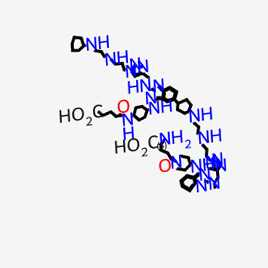 CN(Cc1cn(CCCNCCCNC2CCC(c3ccc4nc(NCc5cn(CCCNCCCNC6CCCCC6)nn5)nc(NC5CCC(NC(=O)CCCC(=O)O)CC5)c4c3)CC2)nn1)c1nc(NC2CCN(C(=O)CC[C@H](N)C(=O)O)CC2)c2ccccc2n1